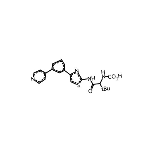 CC(C)(C)C(NC(=O)O)C(=O)Nc1nc(-c2cccc(-c3ccncc3)c2)cs1